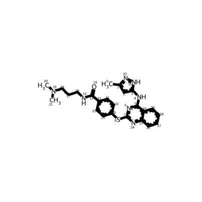 Cc1cc(Nc2nc(Sc3ccc(C(=O)NCCCN(C)C)cc3)nc3ccccc23)[nH]n1